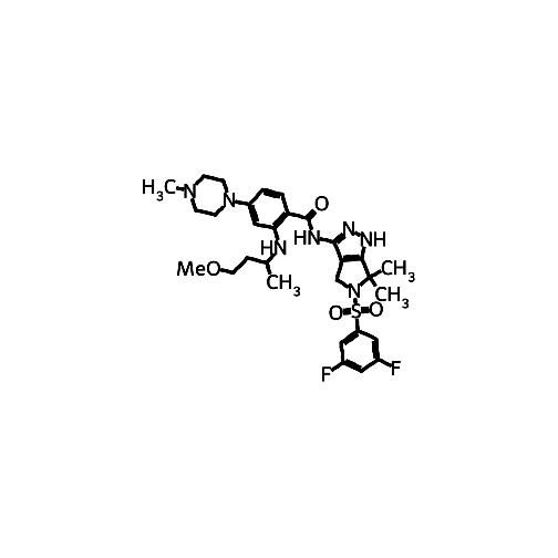 COCCC(C)Nc1cc(N2CCN(C)CC2)ccc1C(=O)Nc1n[nH]c2c1CN(S(=O)(=O)c1cc(F)cc(F)c1)C2(C)C